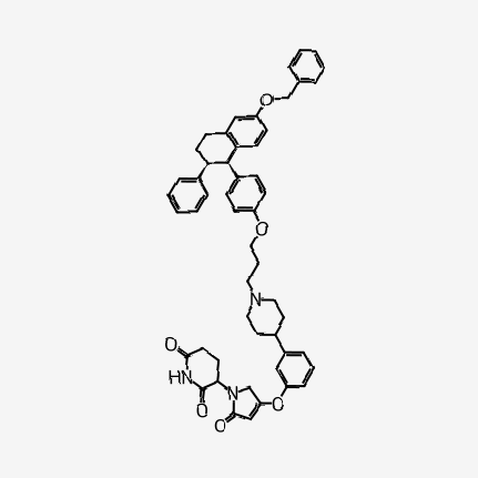 O=C1CCC(N2CC(Oc3cccc(C4CCN(CCCOc5ccc([C@@H]6c7ccc(OCc8ccccc8)cc7CC[C@@H]6c6ccccc6)cc5)CC4)c3)=CC2=O)C(=O)N1